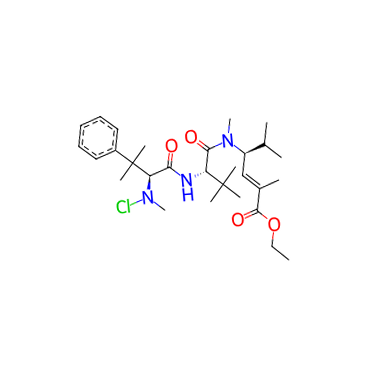 CCOC(=O)/C(C)=C/[C@H](C(C)C)N(C)C(=O)[C@@H](NC(=O)[C@@H](N(C)Cl)C(C)(C)c1ccccc1)C(C)(C)C